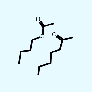 CCCCCC(C)=O.CCCCOC(C)=O